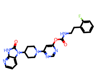 O=C(NCCc1ccccc1F)Oc1cc(N2CCC(n3c(=O)[nH]c4ncccc43)CC2)ncn1